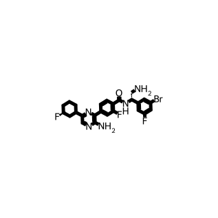 NC[C@@H](NC(=O)c1ccc(-c2nc(C3CCC[C@H](F)C3)cnc2N)cc1F)c1cc(F)cc(Br)c1